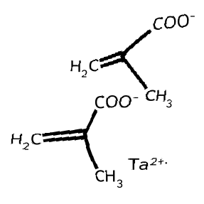 C=C(C)C(=O)[O-].C=C(C)C(=O)[O-].[Ta+2]